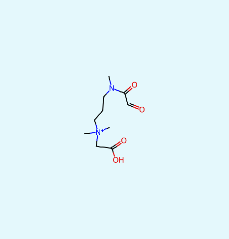 CN(CCC[N+](C)(C)CC(=O)O)C(=O)C=O